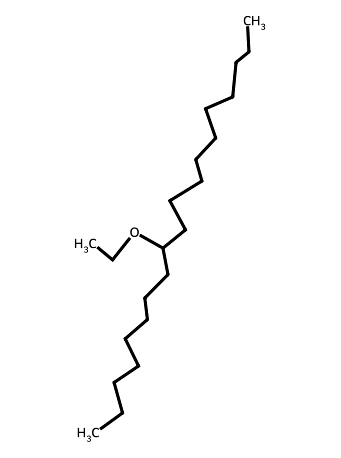 CCCCCCCCCCC(CCCCCCCC)OCC